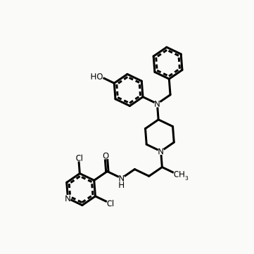 CC(CCNC(=O)c1c(Cl)cncc1Cl)N1CCC(N(Cc2ccccc2)c2ccc(O)cc2)CC1